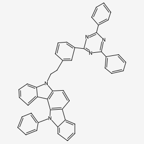 c1ccc(-c2nc(-c3ccccc3)nc(-c3cccc(CCn4c5ccccc5c5c4ccc4c6ccccc6n(-c6ccccc6)c45)c3)n2)cc1